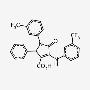 O=C(O)C1=C(Nc2cccc(C(F)(F)F)c2)C(=O)N(c2cccc(C(F)(F)F)c2)C1c1ccccc1